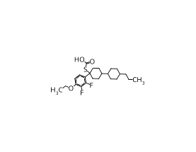 CCCC1CCC(C2CCC(SC(=O)O)(c3ccc(OCC)c(F)c3F)CC2)CC1